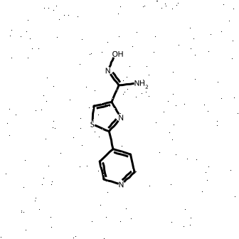 NC(=NO)c1csc(-c2ccncc2)n1